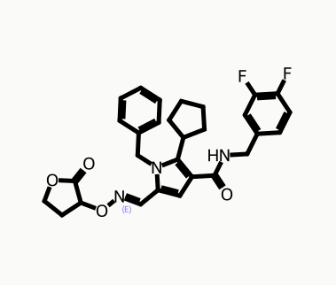 O=C(NCc1ccc(F)c(F)c1)c1cc(/C=N/OC2CCOC2=O)n(Cc2ccccc2)c1C1CCCC1